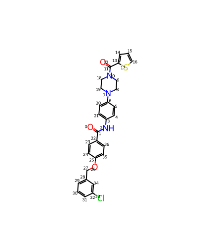 O=C(Nc1ccc(N2CCN(C(=O)c3cccs3)CC2)cc1)c1ccc(OCc2cccc(Cl)c2)cc1